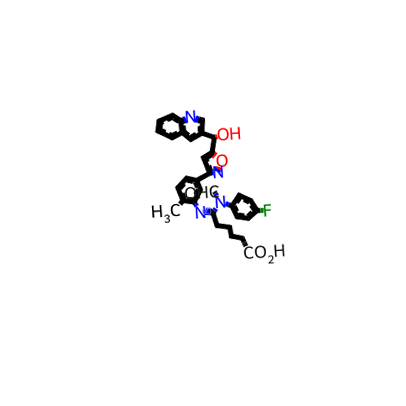 Cc1ccc(-c2cc(C(O)c3cnc4ccccc4c3)on2)cc1/N=C(/CCCCC(=O)O)N(C=O)c1ccc(F)cc1